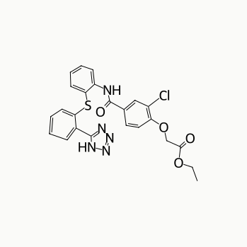 CCOC(=O)COc1ccc(C(=O)Nc2ccccc2Sc2ccccc2-c2nnn[nH]2)cc1Cl